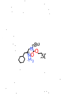 CCCCN(C[C@@H](N)CC1CCCCC1)C(=O)OCC[Si](C)(C)C